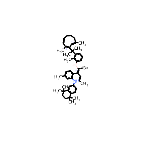 CC=C/C(=C(/Bc1cccc(C(C)(C)C2=C(\C)C=CCCC\C(C)=C\2)c1C)C(C)CC)c1ccc(C)cc1Nc1ccc2c(c1)C(C)(C)CCC2(C)C